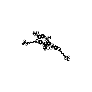 C=CC(=O)OCCCCCCOc1ccc(C(=O)Oc2cc(/C=N/Nc3ccc4cc(OC(=O)C(=C)C)ccc4c3)c(OC(=O)c3ccc(OCCCCCCOC(=O)C=C)cc3)c(OC(=O)C(=C)C)c2)cc1